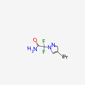 CC(C)c1cnn(C(F)(F)C(N)=O)c1